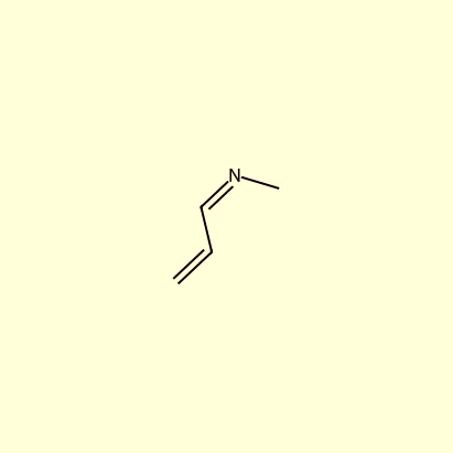 C=C/C=N\C